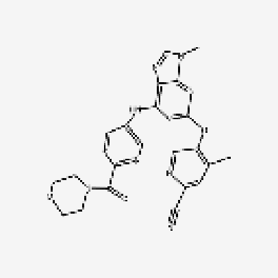 Cc1cc(C#N)ncc1Oc1cc(Nc2ccc(C(=O)N3CCOCC3)nc2)c2ncn(C)c2n1